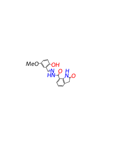 COc1ccc(O)c(/C=N/NC(=O)c2cccc3c2NC(=O)C3)c1